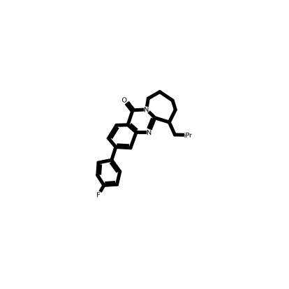 CC(C)CC1CCCCn2c1nc1cc(-c3ccc(F)cc3)ccc1c2=O